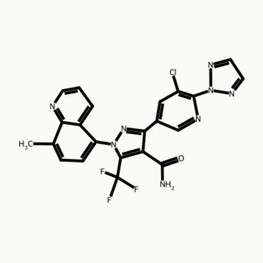 Cc1ccc(-n2nc(-c3cnc(-n4nccn4)c(Cl)c3)c(C(N)=O)c2C(F)(F)F)c2cccnc12